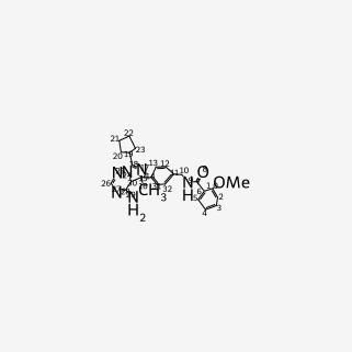 COc1ccccc1C(=O)NCc1ccc(C2(C)N=C(C3CCCC3)N3N=CN=C(N)C32)cc1